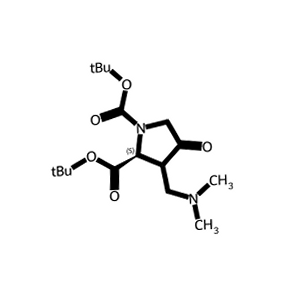 CN(C)CC1C(=O)CN(C(=O)OC(C)(C)C)[C@@H]1C(=O)OC(C)(C)C